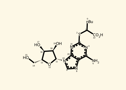 CCCCC(Sc1nc(N)c2ncn([C@@H]3O[C@H](CO)[C@@H](O)[C@H]3O)c2n1)C(=O)O